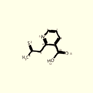 CC(=S)Cc1ncccc1C(=O)O